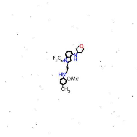 COc1cc(C)ccc1NCC#Cc1cc2c(NC3CCOCC3)cccc2n1CC(F)(F)F